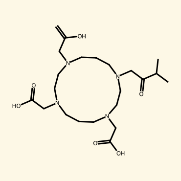 C=C(O)CN1CCCN(CC(=O)C(C)C)CCN(CC(=O)O)CCCN(CC(=O)O)CC1